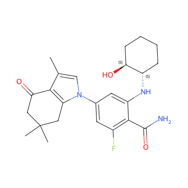 Cc1cn(-c2cc(F)c(C(N)=O)c(N[C@H]3CCCC[C@@H]3O)c2)c2c1C(=O)CC(C)(C)C2